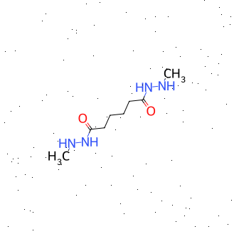 CNNC(=O)CCCCC(=O)NNC